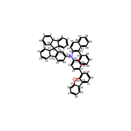 C1=CC2c3ccccc3C3(c4cc(N(c5ccc(-c6cccc7c6oc6ccccc67)cc5)c5ccc6ccccc6c5-c5ccccc5)ccc4C4C=CC=CC43)C2C=C1